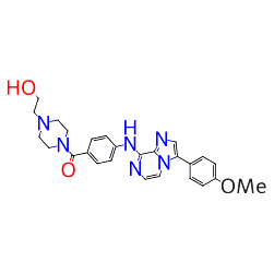 COc1ccc(-c2cnc3c(Nc4ccc(C(=O)N5CCN(CCO)CC5)cc4)nccn23)cc1